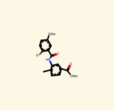 COC(=O)c1ccc(C)c(NC(=O)c2cc(OC)ccc2Br)c1